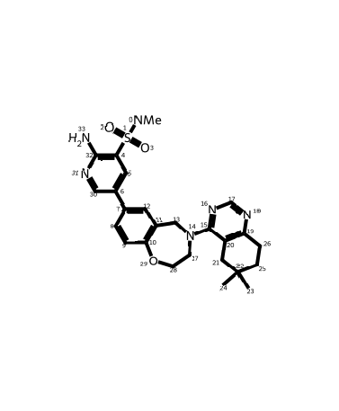 CNS(=O)(=O)c1cc(-c2ccc3c(c2)CN(c2ncnc4c2CC(C)(C)CC4)CCO3)cnc1N